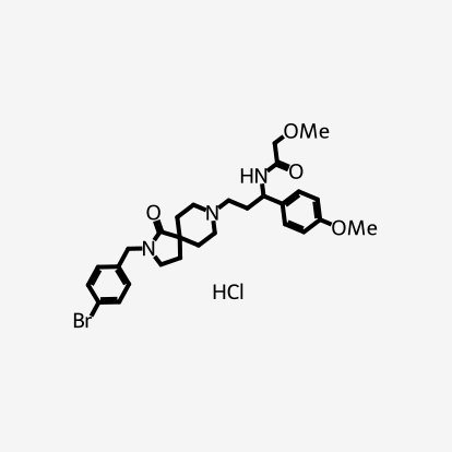 COCC(=O)NC(CCN1CCC2(CC1)CCN(Cc1ccc(Br)cc1)C2=O)c1ccc(OC)cc1.Cl